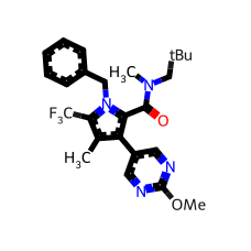 COc1ncc(-c2c(C)c(C(F)(F)F)n(Cc3ccccc3)c2C(=O)N(C)CC(C)(C)C)cn1